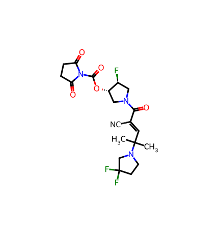 CC(C)(/C=C(\C#N)C(=O)N1C[C@H](OC(=O)N2C(=O)CCC2=O)[C@@H](F)C1)N1CCC(F)(F)C1